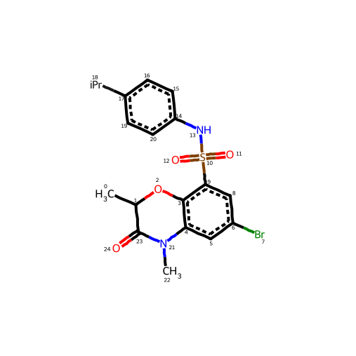 CC1Oc2c(cc(Br)cc2S(=O)(=O)Nc2ccc(C(C)C)cc2)N(C)C1=O